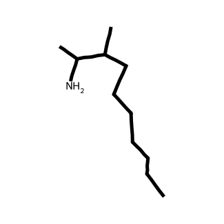 CCCCCCCC(C)C(C)N